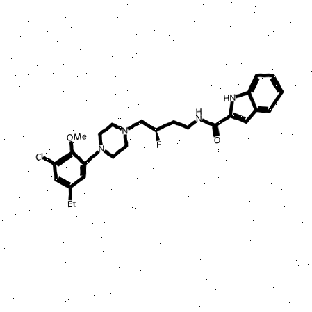 CCc1cc(Cl)c(OC)c(N2CCN(C[C@H](F)CCNC(=O)c3cc4ccccc4[nH]3)CC2)c1